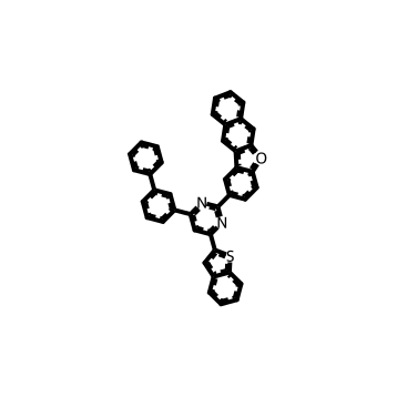 c1ccc(-c2cccc(-c3cc(-c4cc5ccccc5s4)nc(-c4ccc5oc6cc7ccccc7cc6c5c4)n3)c2)cc1